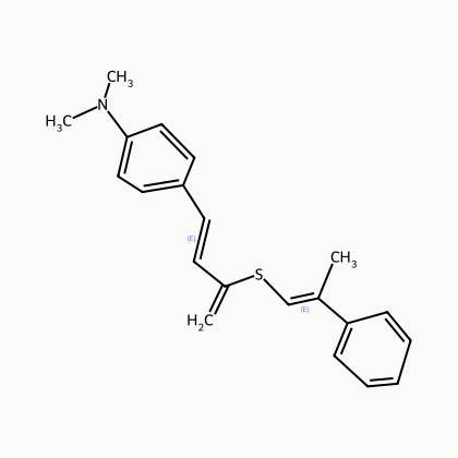 C=C(/C=C/c1ccc(N(C)C)cc1)S/C=C(\C)c1ccccc1